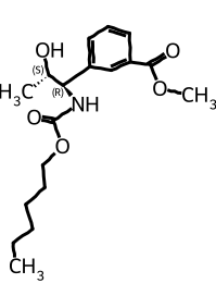 CCCCCCOC(=O)N[C@H](c1cccc(C(=O)OC)c1)[C@H](C)O